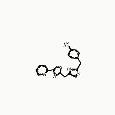 N#Cc1ccc(Cc2ncc(Cc3nc(-c4ccccn4)cs3)[nH]2)cc1